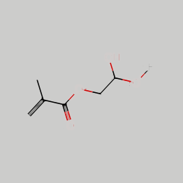 C=C(C)C(=O)OCC(O)OCC